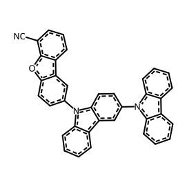 N#Cc1cccc2c1oc1ccc(-n3c4ccccc4c4cc(-n5c6ccccc6c6ccccc65)ccc43)cc12